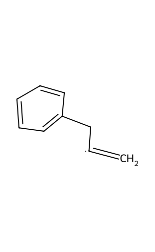 C=[C]Cc1ccccc1